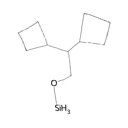 [SiH3]OCC(C1CCC1)C1CCC1